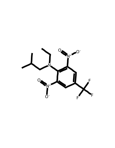 CCN(CC(C)C)c1c([N+](=O)[O-])cc(C(F)(F)F)cc1[N+](=O)[O-]